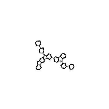 c1ccc(-c2ccc(-n3c4ccc(-c5ccc6c(c5)c5ccccc5n6-c5cccc(-c6ccccc6)c5)cc4c4cc5c(cc43)Cc3ccccc3-5)cc2)cc1